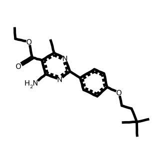 CCOC(=O)c1c(C)nc(-c2ccc(OCCC(C)(C)C)cc2)nc1N